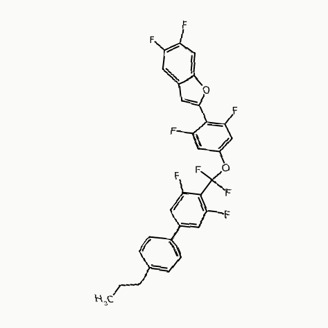 CCCc1ccc(-c2cc(F)c(C(F)(F)Oc3cc(F)c(-c4cc5cc(F)c(F)cc5o4)c(F)c3)c(F)c2)cc1